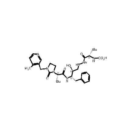 Cc1ccncc1CN1CCN([C@H](C(=O)N[C@@H](Cc2ccccc2)[C@@H](O)CNNC(=O)[C@@H](NC(=O)O)C(C)(C)C)C(C)(C)C)C1=O